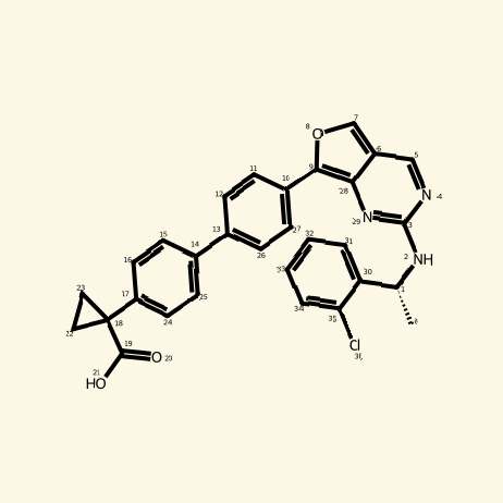 C[C@@H](Nc1ncc2coc(-c3ccc(-c4ccc(C5(C(=O)O)CC5)cc4)cc3)c2n1)c1ccccc1Cl